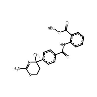 CCCCOC(=O)c1ccccc1NC(=O)c1ccc(C2(C)CCSC(N)=N2)cc1